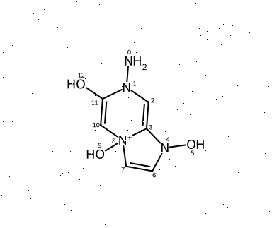 NN1C=C2N(O)C=C[N+]2(O)C=C1O